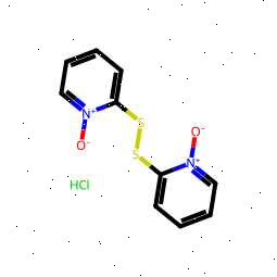 Cl.[O-][n+]1ccccc1SSc1cccc[n+]1[O-]